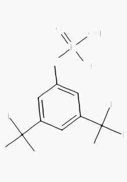 O=P(O)(O)Oc1cc(C(I)(I)I)cc(C(I)(I)I)c1